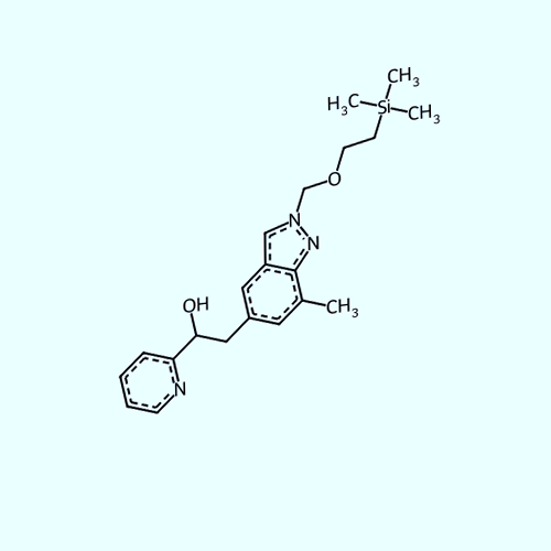 Cc1cc(CC(O)c2ccccn2)cc2cn(COCC[Si](C)(C)C)nc12